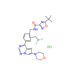 CC(C)(C)c1nc(C(=O)NCc2ccc(-c3ncnn4cc(N5CCOCC5)cc34)cc2CC(F)F)no1.Cl